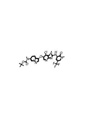 CN(C(=O)OC(C)(C)C)c1ccc2c(Oc3cnc4nc(Nc5cc(C(F)(F)F)cn(C)c5=O)n(C)c4c3Cl)cnn2c1